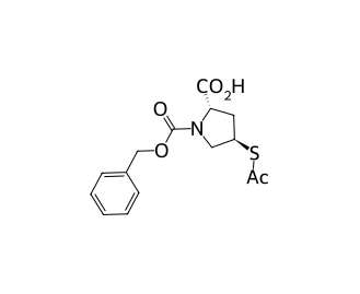 CC(=O)S[C@@H]1C[C@@H](C(=O)O)N(C(=O)OCc2ccccc2)C1